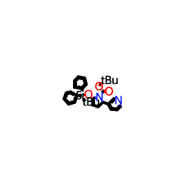 CC(C)(C)OC(=O)N1C(O[Si](c2ccccc2)(c2ccccc2)C(C)(C)C)CCC1c1cccnc1